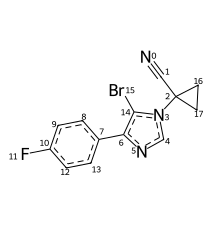 N#CC1(n2cnc(-c3ccc(F)cc3)c2Br)CC1